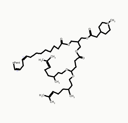 CCCCC/C=C\C/C=C\CCCCCCCC(=O)OCC(COC(=O)CCC(OCCC(C)CCC=C(C)C)OCCC(C)CCC=C(C)C)COC(=O)CC1CCN(C)CC1